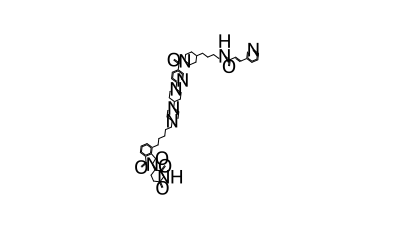 O=C(/C=C/c1cccnc1)NCCCCC1CCN(C(=O)c2ccc(N3CCC(N4CCN(CCCCCc5cccc6c5C(=O)N(C5CCC(=O)NC5=O)C6=O)CC4)CC3)nc2)CC1